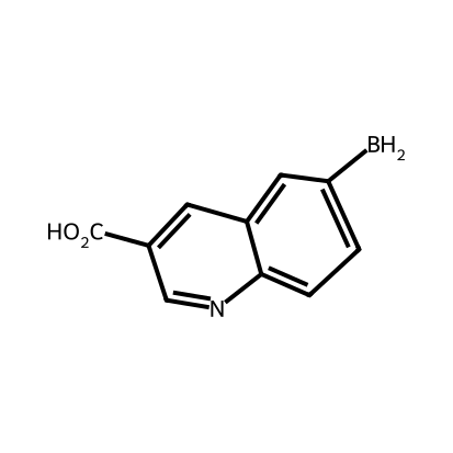 Bc1ccc2ncc(C(=O)O)cc2c1